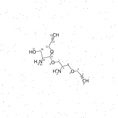 C#CCOCC(N)COC(OCC#C)C(N)CO